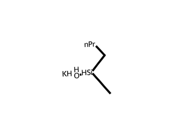 CCCC[SiH](C)O.[KH]